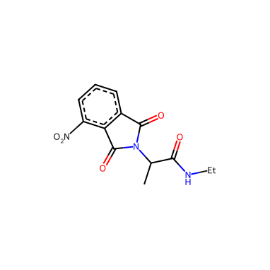 CCNC(=O)C(C)N1C(=O)c2cccc([N+](=O)[O-])c2C1=O